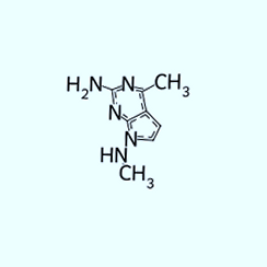 CNn1ccc2c(C)nc(N)nc21